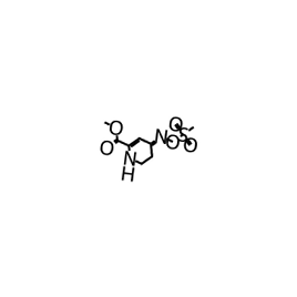 COC(=O)C1=CC(=NOS(C)(=O)=O)CCN1